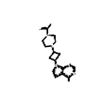 CC(=O)N1CCN(C2CC(n3ccc4c(Cl)ncnc43)C2)CC1